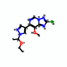 CCOC(C)n1cc(-c2ncn3nc(Br)nc3c2OC)cn1